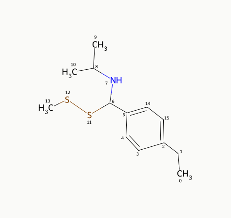 CCc1ccc(C(NC(C)C)SSC)cc1